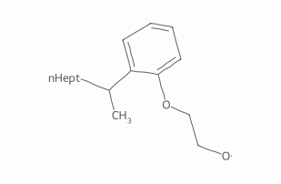 CCCCCCCC(C)c1ccccc1OCC[O]